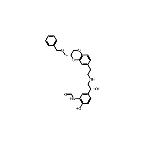 O=CNc1cc([C@@H](O)CNCCc2ccc3c(c2)O[C@H](COCc2ccccc2)CO3)ccc1O